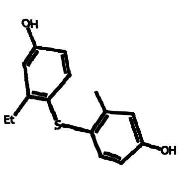 CCc1cc(O)ccc1Sc1ccc(O)cc1C